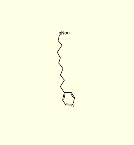 CCCCCCCCCCCCCCCCCCc1ccncc1